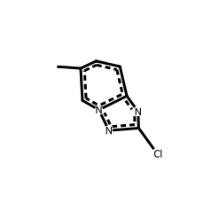 Cc1ccc2nc(Cl)nn2c1